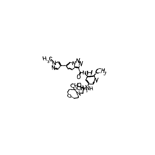 Cc1ncc(NC(=O)CN2CCOCCC2(C)C)cc1NC(=O)c1nnn2cc(-c3cnn(C)c3)ccc12